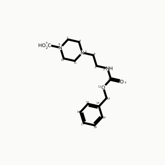 O=C(NCCN1CCN(C(=O)O)CC1)OCc1ccccc1